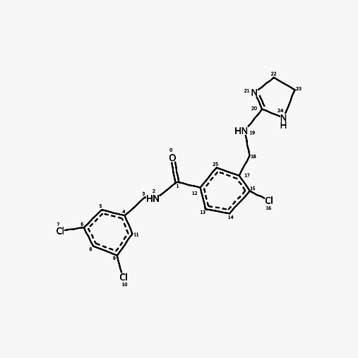 O=C(NCc1cc(Cl)cc(Cl)c1)c1ccc(Cl)c(CNC2=NCCN2)c1